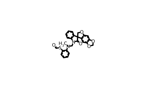 CN(CN1C(=O)C2(COc3cc4c(cc32)OCO4)c2ccccc21)c1ccccc1SC=O